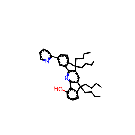 CCCCC1(CCCC)c2ccc(-c3ccccn3)cc2-c2nc3c(cc21)C(CCCC)(CCCC)c1cccc(O)c1-3